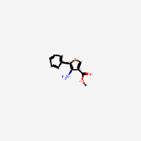 COC(=O)c1csc(-c2ccccc2)c1N